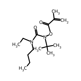 C=C(C)C(=O)ON(C(=O)N(CC)CCCC)C(C)(C)C